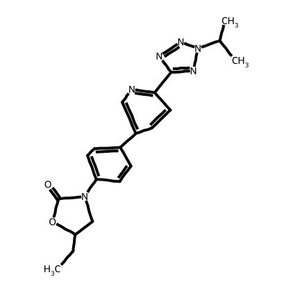 CCC1CN(c2ccc(-c3ccc(-c4nnn(C(C)C)n4)nc3)cc2)C(=O)O1